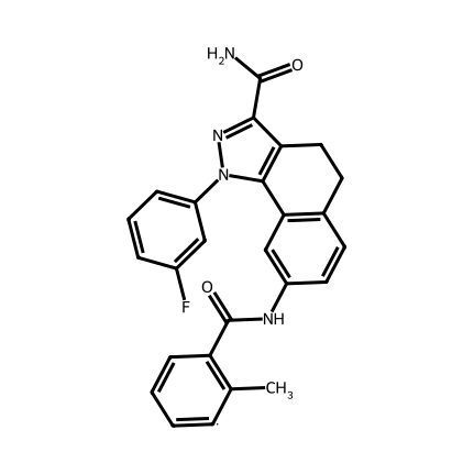 Cc1[c]cccc1C(=O)Nc1ccc2c(c1)-c1c(c(C(N)=O)nn1-c1cccc(F)c1)CC2